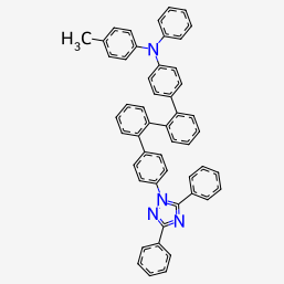 Cc1ccc(N(c2ccccc2)c2ccc(-c3ccccc3-c3ccccc3-c3ccc(-n4nc(-c5ccccc5)nc4-c4ccccc4)cc3)cc2)cc1